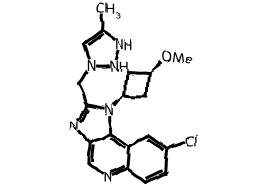 CO[C@H]1C[C@@H](n2c(CN3C=C(C)NN3)nc3cnc4ccc(Cl)cc4c32)C1